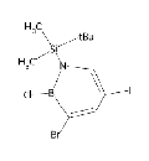 CC(C)(C)[Si](C)(C)N1C=C(I)C=C(Br)B1Cl